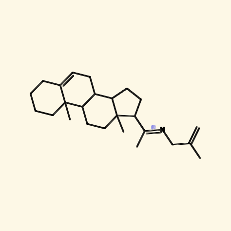 C=C(C)C/N=C(\C)C1CCC2C3CC=C4CCCCC4(C)C3CCC12C